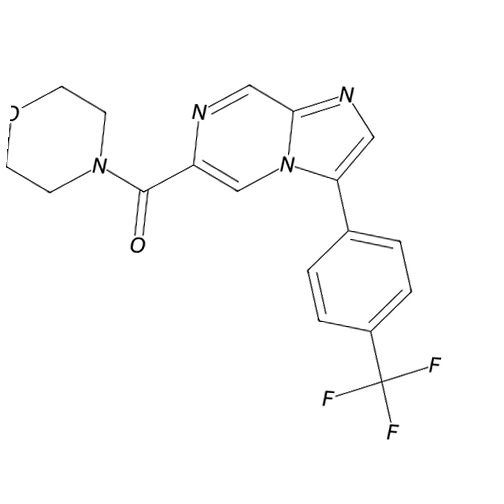 O=C(c1cn2c(-c3ccc(C(F)(F)F)cc3)cnc2cn1)N1CCOCC1